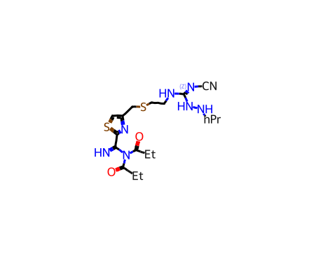 CCCNN/C(=N\C#N)NCCSCc1csc(C(=N)N(C(=O)CC)C(=O)CC)n1